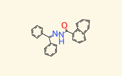 O=C(NN=C(c1ccccc1)c1ccccc1)c1cccc2ccccc12